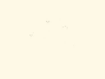 CC1C[CH]([Mo])[CH]([Mo])C([N+](C)(C)C)[C@@H]1C